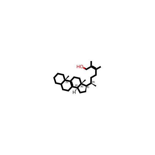 CC(CO)=C(C)CC[C@@H](C)[C@H]1CC[C@H]2C3=C(CC[C@]12C)[C@@]1(C)CCCCC1CC3